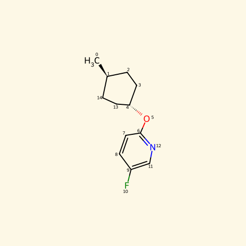 C[C@H]1CC[C@H](Oc2ccc(F)cn2)CC1